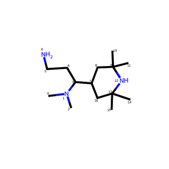 CN(C)C(CCN)C1CC(C)(C)NC(C)(C)C1